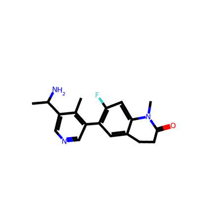 Cc1c(-c2cc3c(cc2F)N(C)C(=O)CC3)cncc1C(C)N